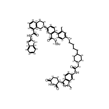 Cc1cc(OCCCCC2CCN(CC(=O)Nc3ccc4c(C5CCC(=O)NC5=O)nn(C)c4c3)CC2)ccc1-c1ccc(N2CCc3cccc(C(=O)Nc4nc5ccccc5s4)c3C2)nc1C(=O)OC(C)(C)C